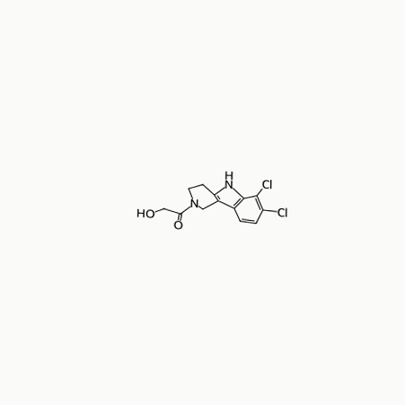 O=C(CO)N1CCc2[nH]c3c(Cl)c(Cl)ccc3c2C1